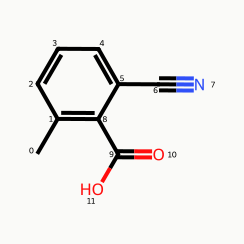 Cc1cccc(C#N)c1C(=O)O